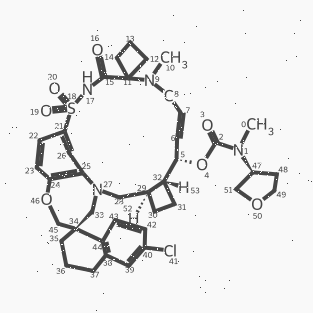 CN(C(=O)O[C@H]1/C=C/CN(C)C2(CCC2)C(=O)NS(=O)(=O)c2ccc3c(c2)N(C[C@@H]2CC[C@H]21)C[C@@]1(CCCc2cc(Cl)ccc21)CO3)[C@H]1CCOC1